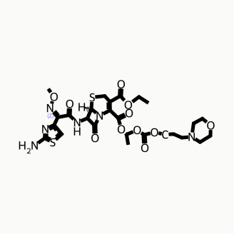 CCOC(=O)C1=C(C(=O)OC(C)OC(=O)OCCCN2CCOCC2)N2C(=O)C(NC(=O)/C(=N\OC)c3csc(N)n3)[C@H]2SC1